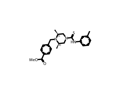 COC(=O)c1ccc(CN2[C@H](C)CN(C(=S)Nc3cccc(C)c3)C[C@@H]2C)cc1